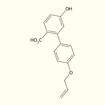 C=CCOc1ccc(-c2cc(O)ccc2C(=O)O)cc1